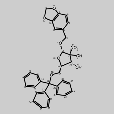 O=[N+]([O-])[C@]1(O)[C@@H](OCc2ccc3c(c2)OCO3)O[C@H](COC(c2ccccc2)(c2ccccc2)c2ccccc2)[C@H]1O